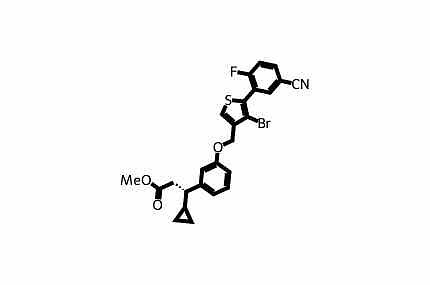 COC(=O)C[C@H](c1cccc(OCc2csc(-c3cc(C#N)ccc3F)c2Br)c1)C1CC1